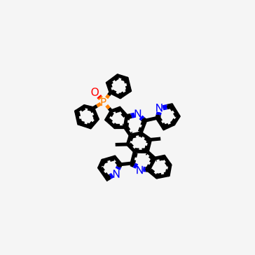 Cc1c2c(-c3ccccn3)nc3cc(P(=O)(c4ccccc4)c4ccccc4)ccc3c2c(C)c2c(-c3ccccn3)nc3ccccc3c12